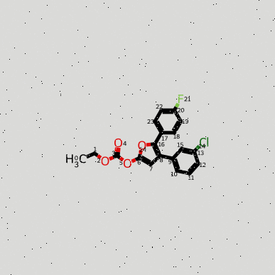 CCOC(=O)Oc1cc(-c2cccc(Cl)c2)c(-c2ccc(F)cc2)o1